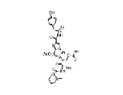 CCCC(=O)OCN(C(=O)[C@@H](NC(=O)[C@H]1CCCCN1C)C(C)CC)[C@H](C[C@@H](OC(C)=O)c1nc(C(=O)N[C@H](CC)Cc2ccc(O)cc2)cs1)C(C)C